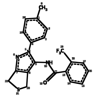 Cc1ccc(-n2nc3c(c2NC(=O)c2ccccc2C(F)(F)F)CSC3)cc1